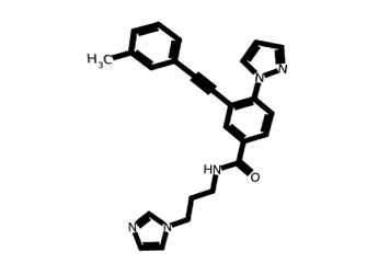 Cc1cccc(C#Cc2cc(C(=O)NCCCn3ccnc3)ccc2-n2cccn2)c1